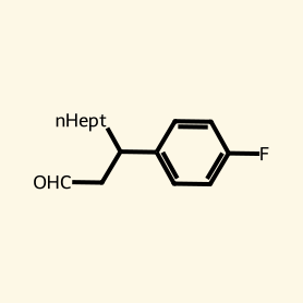 CCCCCCCC(CC=O)c1ccc(F)cc1